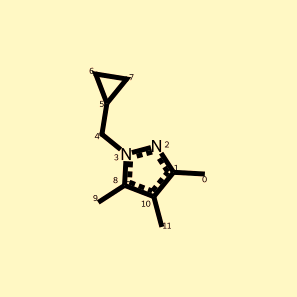 Cc1nn(CC2CC2)c(C)c1C